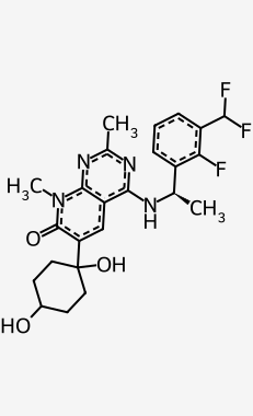 Cc1nc(N[C@H](C)c2cccc(C(F)F)c2F)c2cc(C3(O)CCC(O)CC3)c(=O)n(C)c2n1